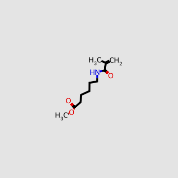 C=C(C)C(=O)NCCCCCC(=O)OC